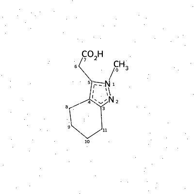 Cn1nc2c(c1CC(=O)O)CCCC2